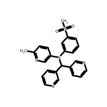 Cc1ccc(N(c2cccc(S(C)(=O)=O)c2)C(c2cccnc2)c2cccnc2)cn1